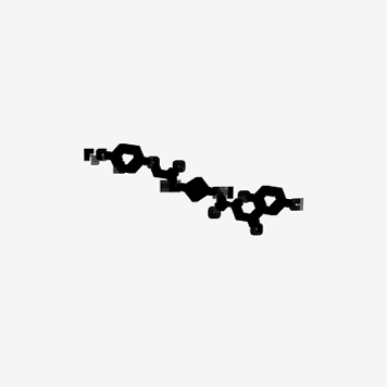 O=C(COc1ccc(C(F)(F)F)nc1)NC12CC(NC(=O)[C@H]3CC(=O)c4cc(Cl)ccc4O3)(C1)C2